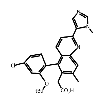 Cc1cc2nc(-c3cncn3C)ccc2c(-c2ccc(Cl)cc2OC(C)(C)C)c1CC(=O)O